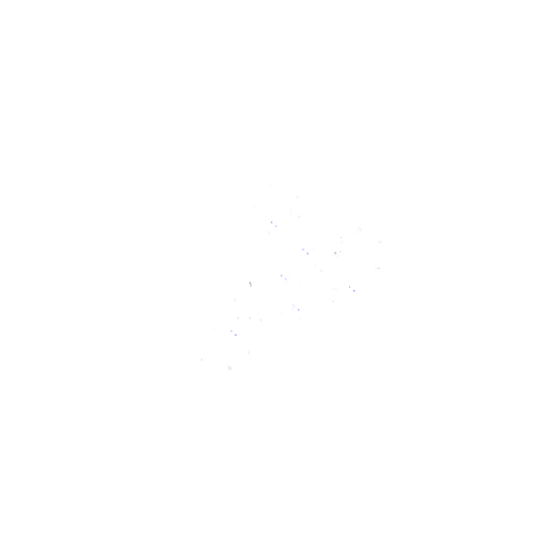 CC(Nc1c(-c2nc3ccc(N4CCOCC4)cc3[nH]2)c(=O)[nH]c2ccccc12)c1cocn1